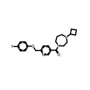 O=C(c1ccc(COc2ccc(F)cc2)nc1)N1CCCN(C2CCC2)CC1